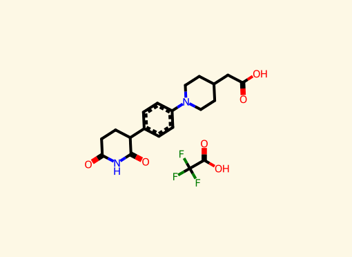 O=C(O)C(F)(F)F.O=C(O)CC1CCN(c2ccc(C3CCC(=O)NC3=O)cc2)CC1